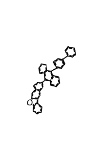 c1ccc(-c2ccc(-c3c4ccccc4c(-c4ccc5cc6oc7ccccc7c6cc5c4)c4ccccc34)cc2)cc1